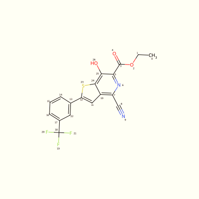 CCOC(=O)c1nc(C#N)c2cc(-c3cccc(C(F)(F)F)c3)sc2c1O